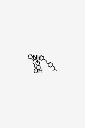 CC(C)Cc1ccc(C=Cc2cccc(C(=O)c3[nH]c4ccccc4c3CCCC(=O)O)c2)cc1